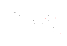 C=CC(=O)OCCC[SiH](C)O[Si](C)(O)CCCO